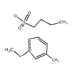 CCCCS(=O)(=O)[O-].CC[n+]1cccc(C)c1